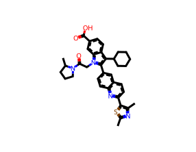 Cc1nc(C)c(-c2ccc3cc(-c4c(C5CCCCC5)c5ccc(C(=O)O)cc5n4CC(=O)N4CCCC4C)ccc3n2)s1